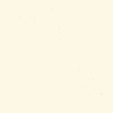 COc1cc2nn(C3CCC(CCN4CCN(c5ccc(C6CCC(=O)NC6=O)cc5)[C@@H](C)C4)CC3)cc2cc1C(=O)Nc1cccn(C2CC2)c1=O